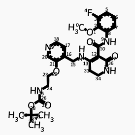 COc1c(F)cccc1NC(=O)C1=C(NCc2ccncc2OCCNC(=O)OC(C)(C)C)CCNC1=O